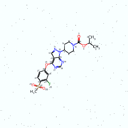 CC(C)OC(=O)N1CCC(n2ncc3c(Oc4ccc(S(C)(=O)=O)c(F)c4)ncnc32)CC1